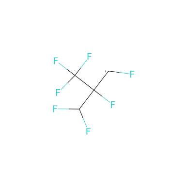 F[CH]C(F)(C(F)F)C(F)(F)F